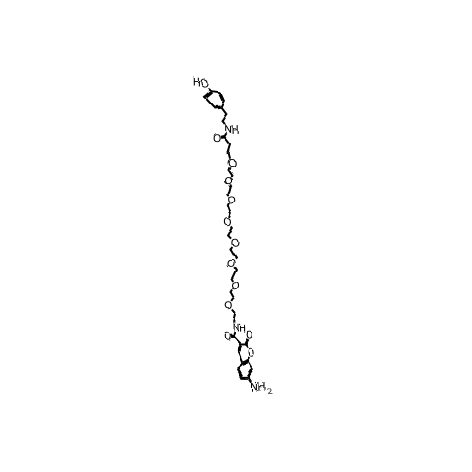 Nc1ccc2cc(C(=O)NCCOCCOCCOCCOCCOCCOCCOCCOCCC(=O)NCCc3ccc(O)cc3)c(=O)oc2c1